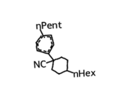 CCCCCCC1CCC(C#N)(c2ccc(CCCCC)cc2)CC1